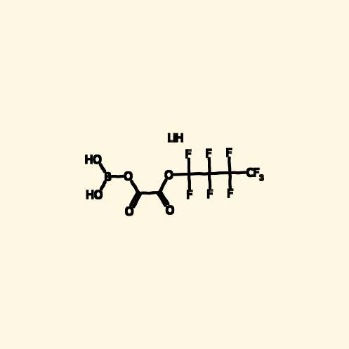 O=C(OB(O)O)C(=O)OC(F)(F)C(F)(F)C(F)(F)C(F)(F)F.[LiH]